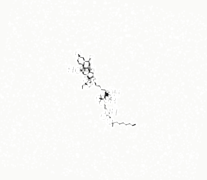 C=CCCCCCC(C)OCC(=O)NCCOP(=O)(O)OP(=O)(O)CCCCSC(=O)[C@@]1(OC(=O)CC)[C@H](C)C[C@H]2[C@@H]3C[C@H](F)C4=CC(=O)C=C[C@]4(C)[C@@]3(F)[C@@H](O)C[C@@]21C